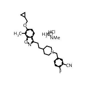 CNC.Cc1c(OCC2CC2)ccc2c(CCC3CCN(Cc4ccc(F)c(C#N)c4)CC3)noc12.Cl.Cl